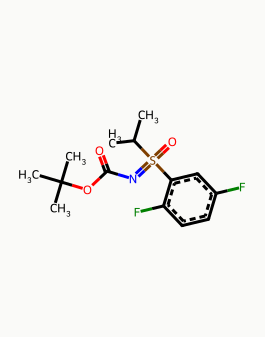 CC(C)S(=O)(=NC(=O)OC(C)(C)C)c1cc(F)ccc1F